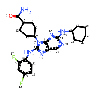 NC(=O)C1CCC(n2c(Nc3ccc(F)cc3F)nc3cnc(NC4CCCCC4)nc32)CC1